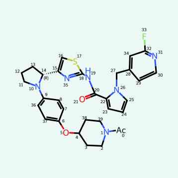 CC(=O)N1CCC(Oc2ccc(N3CCC[C@@H]3c3csc(NC(=O)c4cccn4Cc4ccnc(F)c4)n3)cc2)CC1